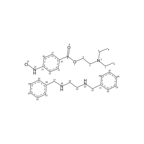 CCN(CC)CCOC(=O)c1ccc(NCl)cc1.c1ccc(CNCCNCc2ccccc2)cc1